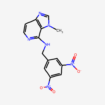 Cn1cnc2ccnc(NCc3cc([N+](=O)[O-])cc([N+](=O)[O-])c3)c21